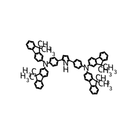 CC1(C)c2ccccc2-c2ccc(N(c3ccc(-c4ccc(-c5ccc(N(c6ccc7c(c6)C(C)(C)c6ccccc6-7)c6ccc7c(c6)C(C)(C)c6ccccc6-7)cc5)[nH]4)cc3)c3ccc4c(c3)C(C)(C)c3ccccc3-4)cc21